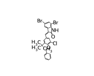 CC(C)(C)c1cc(C=C2C(=O)Nc3c(Br)cc(Br)cc32)cc(Cl)c1OCc1ccccc1